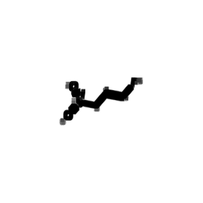 O=[SH](=O)CC=CF